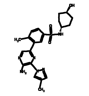 Cc1cnn(-c2nc(-c3cc(S(=O)(=O)N[C@H]4CC[C@H](O)CC4)ccc3C)cnc2N)c1